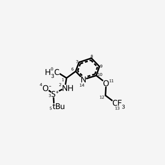 CC(N[S+]([O-])C(C)(C)C)c1cccc(OCC(F)(F)F)n1